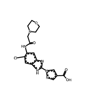 O=C(CN1CCOCC1)Nc1cc2nc(-n3cc(C(=O)O)cn3)[nH]c2cc1Cl